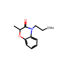 COCCN1C(=O)C(C)Oc2ccccc21